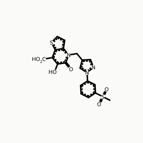 CS(=O)(=O)c1cccc(-n2cc(Cn3c(=O)c(O)c(C(=O)O)c4sccc43)cn2)c1